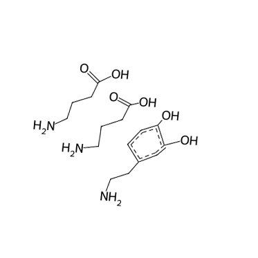 NCCCC(=O)O.NCCCC(=O)O.NCCc1ccc(O)c(O)c1